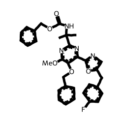 COc1nc(C(C)(C)NC(=O)OCc2ccccc2)nc(-c2ncc(Cc3ccc(F)cc3)o2)c1OCc1ccccc1